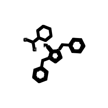 ClN(Cl)C1CCCCC1.[Pt]=[c]1n(Cc2ccccc2)ccn1Cc1ccccc1